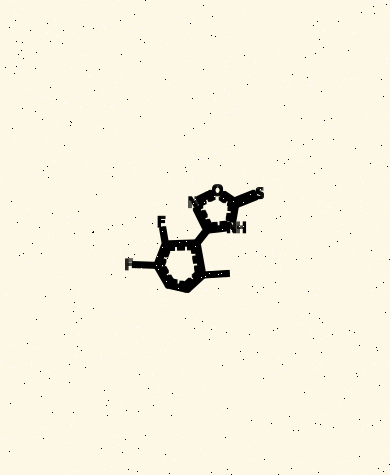 Cc1ccc(F)c(F)c1-c1noc(=S)[nH]1